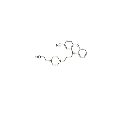 N#Cc1ccc2c(c1)N(CCCN1CCN(CCO)CC1)c1ccccc1S2